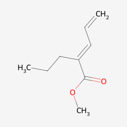 C=C/C=C(\CCC)C(=O)OC